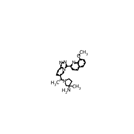 COc1cccc2ccc(-c3nnc4ccc([C@@H](C)N5CC[C@](C)(N)C5)cn34)nc12